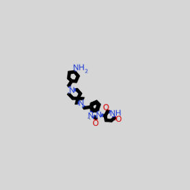 Cn1c(=O)n(C2CCC(=O)NC2=O)c2cccc(CN3CC4(CCN(CC5CCC(N)CC5)CC4)C3)c21